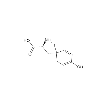 N[C@@H](CC1(I)C=CC(O)=CC1)C(=O)O